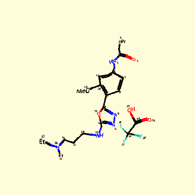 CCCC(=O)Nc1ccc(-c2nnc(NCCCN(CC)CC)o2)c(OC)c1.O=C(O)C(F)(F)F